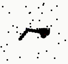 CCCCCCCC/C=C\CCCCCCCCOP(O)(O)(c1ccccc1)c1ccccc1